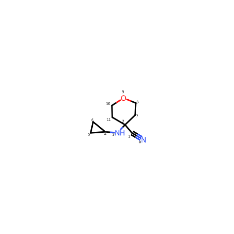 N#CC1(NC2CC2)CCOCC1